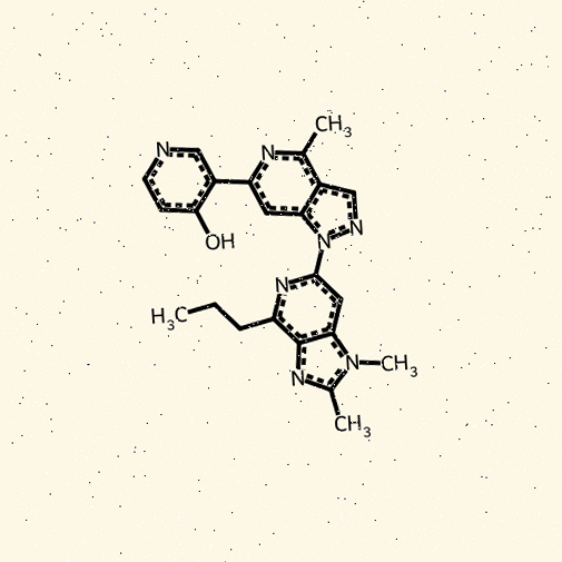 CCCc1nc(-n2ncc3c(C)nc(-c4cnccc4O)cc32)cc2c1nc(C)n2C